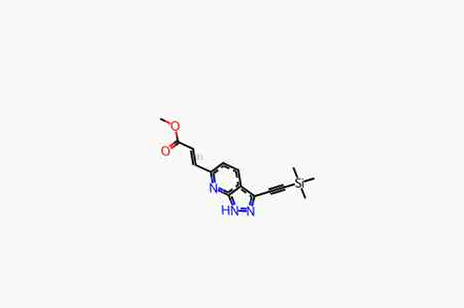 COC(=O)/C=C/c1ccc2c(C#C[Si](C)(C)C)n[nH]c2n1